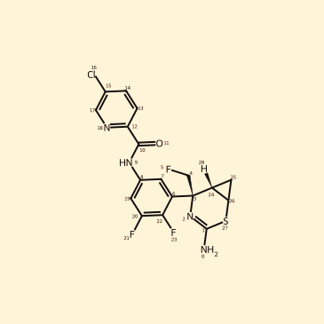 NC1=N[C@](CF)(c2cc(NC(=O)c3ccc(Cl)cn3)cc(F)c2F)[C@@H]2CC2S1